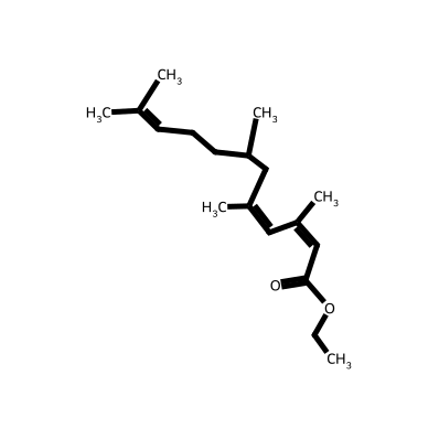 CCOC(=O)C=C(C)C=C(C)CC(C)CCC=C(C)C